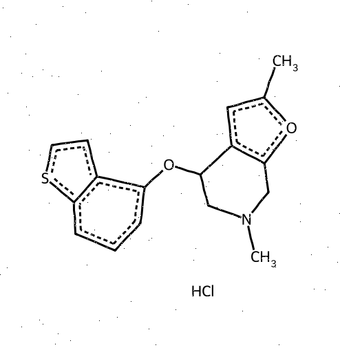 Cc1cc2c(o1)CN(C)CC2Oc1cccc2sccc12.Cl